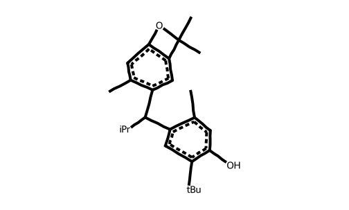 Cc1cc(O)c(C(C)(C)C)cc1C(c1cc2c(cc1C)OC2(C)C)C(C)C